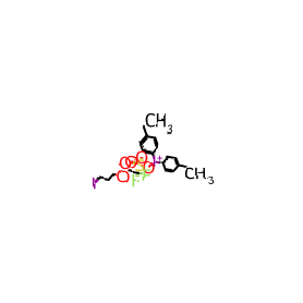 CCc1ccc([I+](OS(=O)(=O)C(F)(F)C(=O)OCCCI)c2ccc(CC)cc2)cc1